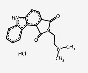 CN(C)CCN1C(=O)c2ccc3[nH]c4ccccc4c3c2C1=O.Cl